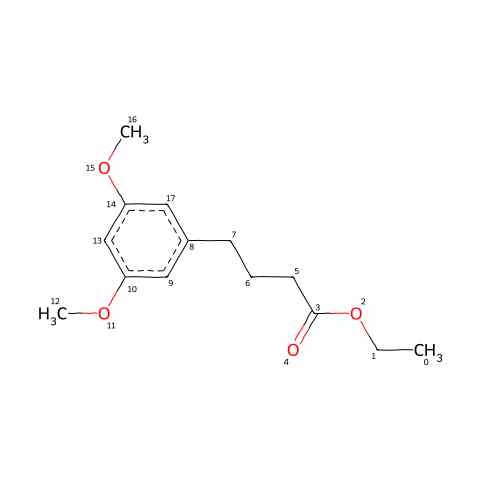 CCOC(=O)CCCc1cc(OC)cc(OC)c1